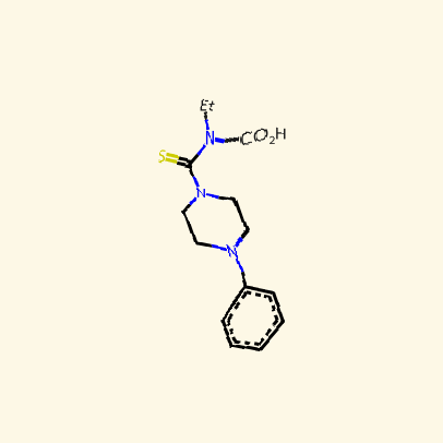 CCN(C(=O)O)C(=S)N1CCN(c2ccccc2)CC1